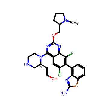 CN1CCCC1COc1nc(N2CCNC[C@@H]2CCO)c2cc(Cl)c(-c3cccc4sc(N)nc34)c(F)c2n1